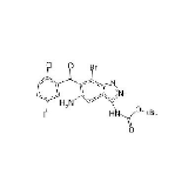 Cn1nc2c(Br)c(C(=O)c3cc(F)ccc3Cl)c(N)cc2c1NC(=O)OC(C)(C)C